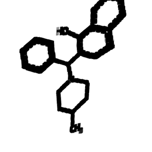 CC1CCN(C(c2ccccc2)c2ccc3ccccc3c2O)CC1